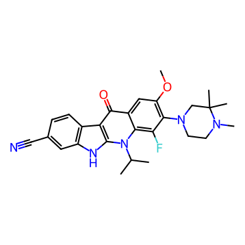 COc1cc2c(=O)c3c4ccc(C#N)cc4[nH]c3n(C(C)C)c2c(F)c1N1CCN(C)C(C)(C)C1